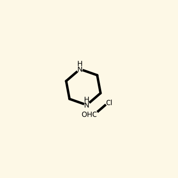 C1CNCCN1.O=CCl